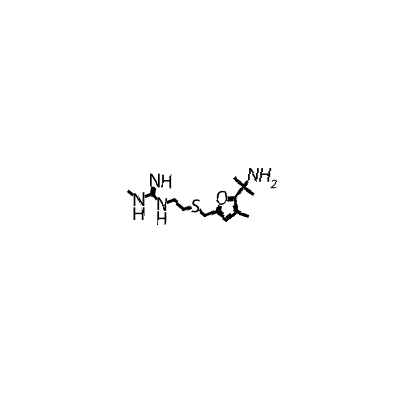 CNC(=N)NCCSCc1cc(C)c(C(C)(C)N)o1